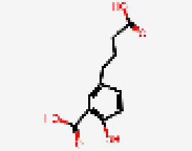 O=C(O)CCCc1ccc(O)c(C(=O)O)c1